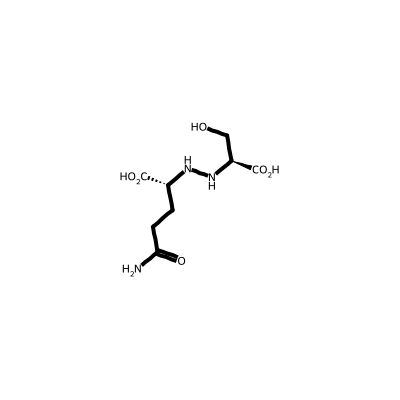 NC(=O)CC[C@@H](NN[C@@H](CO)C(=O)O)C(=O)O